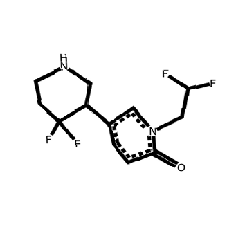 O=c1ccc(C2CNCCC2(F)F)cn1CC(F)F